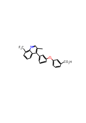 Cc1cnc2c(C(F)(F)F)cccc2c1-c1cccc(Oc2cccc(C(=O)O)c2)c1